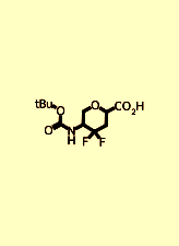 CC(C)(C)OC(=O)NC1COC(C(=O)O)CC1(F)F